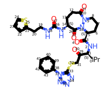 CC(C)[C@H](NC(=O)[C@@H]1CCCN2C(=O)CC[C@H](NC(=O)NCCc3cccs3)C(=O)N12)C(=O)CSc1nnnn1-c1ccccc1